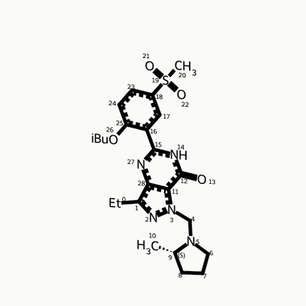 CCc1nn(CN2CCC[C@@H]2C)c2c(=O)[nH]c(-c3cc(S(C)(=O)=O)ccc3OCC(C)C)nc12